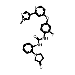 Cn1cc(-c2cc(Oc3ccc(NC(=O)Nc4ccccc4N4CCC(=O)C4)c(F)c3)ccn2)cn1